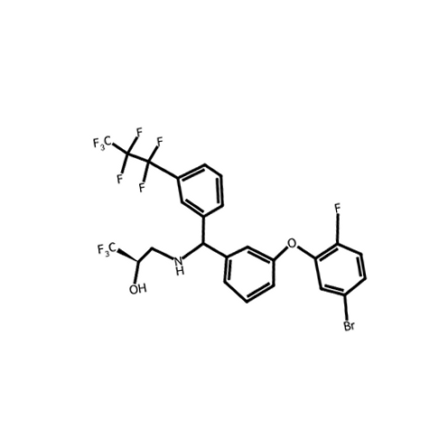 O[C@H](CNC(c1cccc(Oc2cc(Br)ccc2F)c1)c1cccc(C(F)(F)C(F)(F)C(F)(F)F)c1)C(F)(F)F